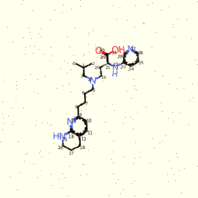 CC(C)CN(CCCCc1ccc2c(n1)NCCC2)CC[C@H](Nc1cccnc1)C(=O)O